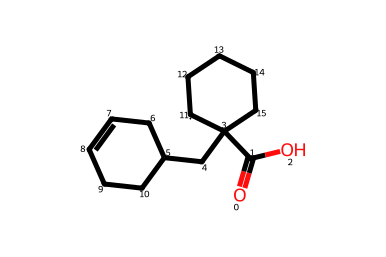 O=C(O)C1(CC2CC=CCC2)[CH]CCCC1